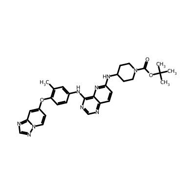 Cc1cc(Nc2ncnc3ccc(NC4CCN(C(=O)OC(C)(C)C)CC4)nc23)ccc1Oc1ccn2ncnc2c1